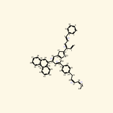 C=C/C(=C\C=C\c1ccccc1)C1=NC=C(/C=C(\C=C(/C)c2ccc(C/C=C\C=N/C)cc2)c2cc3ccccc3c3ccccc23)C1